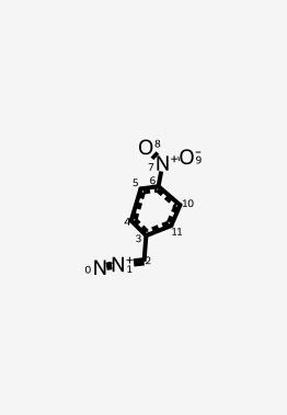 [N-]=[N+]=Cc1ccc([N+](=O)[O-])cc1